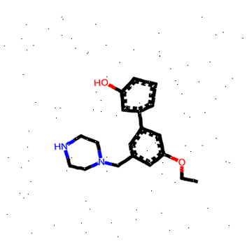 CCOc1cc(CN2CCNCC2)cc(-c2cccc(O)c2)c1